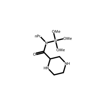 CCCN(C(=O)C1CNCCN1)[Si](OC)(OC)OC